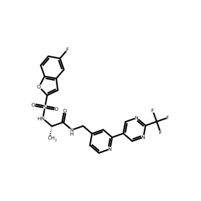 C[C@H](NS(=O)(=O)c1cc2cc(F)ccc2o1)C(=O)NCc1ccnc(-c2cnc(C(F)(F)F)nc2)c1